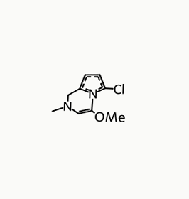 COC1=CN(C)Cc2ccc(Cl)n21